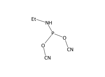 CCNP(OC#N)OC#N